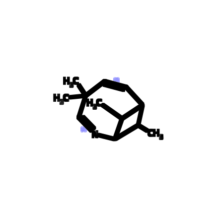 CC1C2/C=C\C(C)(C)/C=N\C1C2C